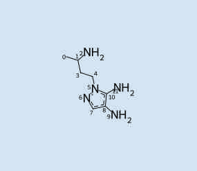 CC(N)CCn1ncc(N)c1N